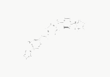 c1cnn(-c2ccc(COc3ccc(Oc4ccc(-c5ccn[nH]5)cc4)cc3)cn2)c1